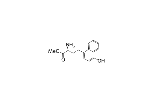 COC(=O)[C@@H](N)CCc1ccc(O)c2ccccc12